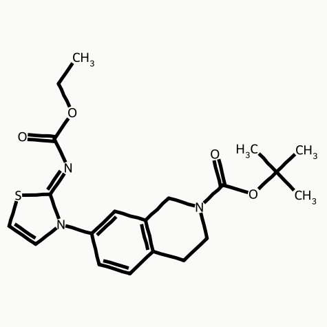 CCOC(=O)/N=c1\sccn1-c1ccc2c(c1)CN(C(=O)OC(C)(C)C)CC2